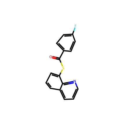 O=C(Sc1cccc2cccnc12)c1ccc(F)cc1